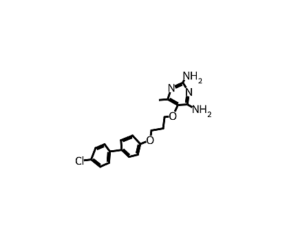 Cc1nc(N)nc(N)c1OCCCOc1ccc(-c2ccc(Cl)cc2)cc1